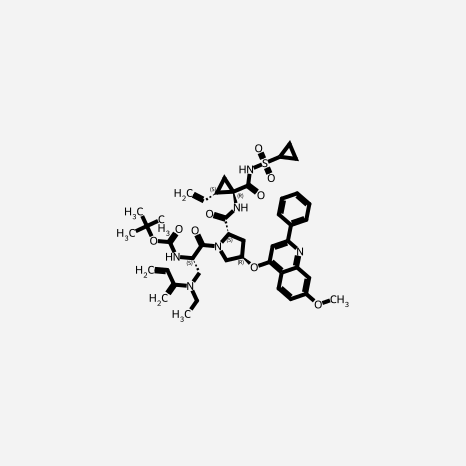 C=CC(=C)N(CC)C[C@H](NC(=O)OC(C)(C)C)C(=O)N1C[C@H](Oc2cc(-c3ccccc3)nc3cc(OC)ccc23)C[C@H]1C(=O)N[C@]1(C(=O)NS(=O)(=O)C2CC2)C[C@H]1C=C